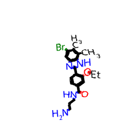 CCOc1cc(C(=O)NCCCN)ccc1-c1nc2cc(Br)c(C)c(C)c2[nH]1